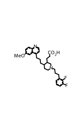 COc1ccc2nccc(CCCC3CCN(CCCc4cccc(F)c4F)CC3CCC(=O)O)c2c1